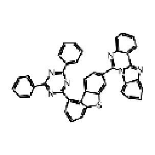 c1ccc(-c2nc(-c3ccccc3)nc(-c3cccc4sc5cc(-c6nc7ccccc7c7nc8ccccc8n67)ccc5c34)n2)cc1